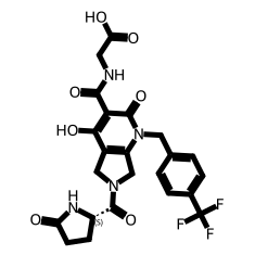 O=C(O)CNC(=O)c1c(O)c2c(n(Cc3ccc(C(F)(F)F)cc3)c1=O)CN(C(=O)[C@@H]1CCC(=O)N1)C2